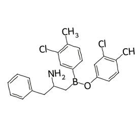 Cc1ccc(OB(CC(N)Cc2ccccc2)c2ccc(C)c(Cl)c2)cc1Cl